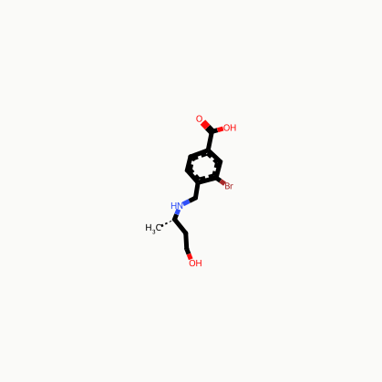 C[C@@H](CCO)NCc1ccc(C(=O)O)cc1Br